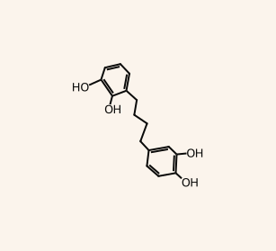 Oc1ccc(CCCCc2cccc(O)c2O)cc1O